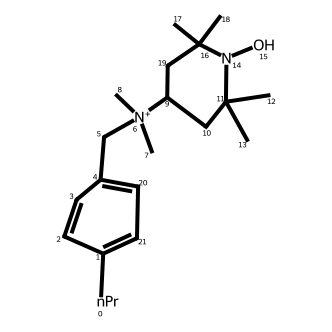 CCCc1ccc(C[N+](C)(C)C2CC(C)(C)N(O)C(C)(C)C2)cc1